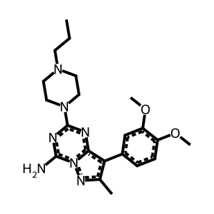 CCCN1CCN(c2nc(N)n3nc(C)c(-c4ccc(OC)c(OC)c4)c3n2)CC1